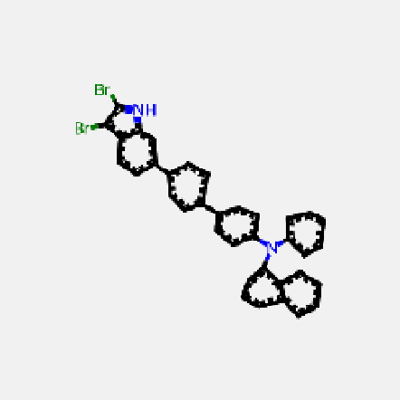 Brc1[nH]c2cc(-c3ccc(-c4ccc(N(c5ccccc5)c5cccc6ccccc56)cc4)cc3)ccc2c1Br